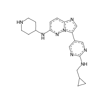 c1nc(NCC2CC2)ncc1-c1cnc2ccc(NC3CCNCC3)nn12